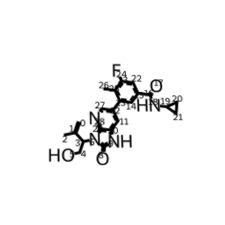 C=C(C)C(CO)n1c(=O)[nH]c2cc(-c3cc(C(=O)NC4CC4)cc(F)c3C)cnc21